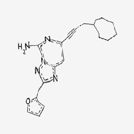 Nc1nc(C#CCC2CCCCC2)cc2nc(-c3ccco3)nn12